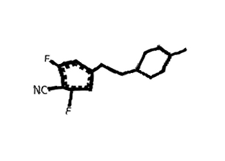 CC1CCC(CCc2cc(F)c(C#N)c(F)c2)CC1